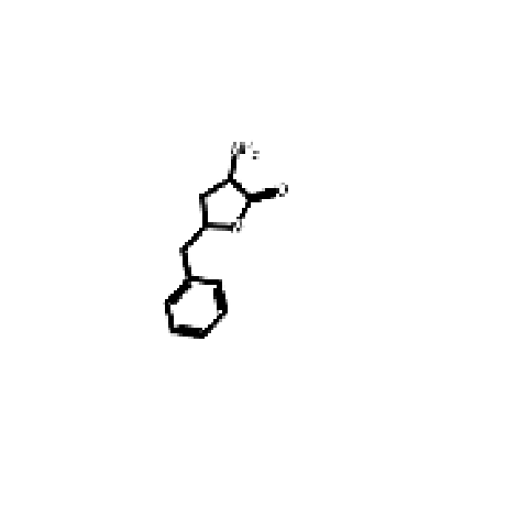 NC1CC(Cc2ccccc2)[N]C1=O